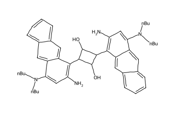 CCCCN(CCCC)c1cc(N)c(C2C(O)C(c3c(N)cc(N(CCCC)CCCC)c4cc5ccccc5cc34)C2O)c2cc3ccccc3cc12